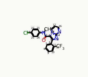 CN(C(=O)c1c(-c2ccccc2C(F)(F)F)nc2ncccn12)c1ccc(Cl)cc1